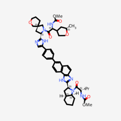 COC(=O)N[C@H](C(=O)N1[C@H](c2nc3ccc4cc(-c5ccc(-c6cnc([C@@H]7C[C@@]8(CCCOC8)CN7C(=O)[C@@H](NC(=O)OC)C7CCO[C@@H](C)C7)[nH]6)cc5)ccc4c3[nH]2)C[C@@H]2CCCC[C@@H]21)C(C)C